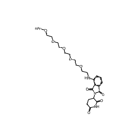 CCCOCCOCCOCCOCCOCCNc1cccc2c1C(=O)N(C1CCC(=O)NC1=O)C2=O